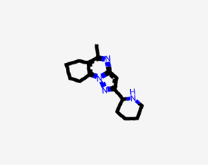 Cc1nc2cc(C3CCCCN3)nn2c2c1CCCC2